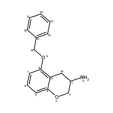 NC1COc2cccc(OCc3ccccc3)c2C1